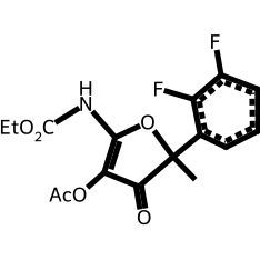 CCOC(=O)NC1=C(OC(C)=O)C(=O)C(C)(c2cccc(F)c2F)O1